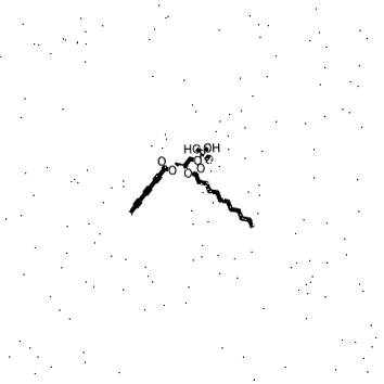 CC#CC#CC#CC(=O)OC[C@@H](COP(=O)(O)O)OC(=O)CCCCCCCCCCC